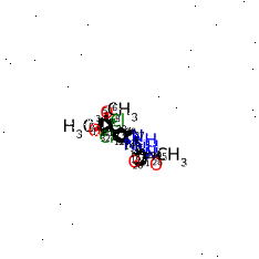 COc1cc(OC)c(Cl)c(-c2ccc3nc(N[C@@H]4COCC[C@@H]4NC(C)=O)ncc3c2)c1Cl